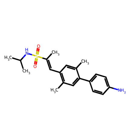 C/C(=C\c1cc(C)c(-c2ccc(N)cc2)cc1C)S(=O)(=O)NC(C)C